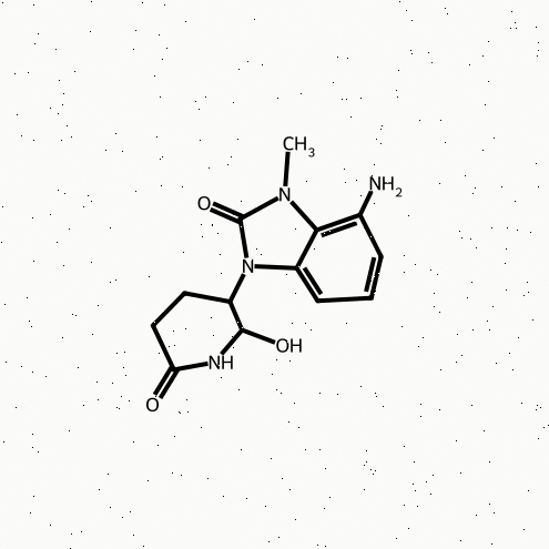 Cn1c(=O)n(C2CCC(=O)NC2O)c2cccc(N)c21